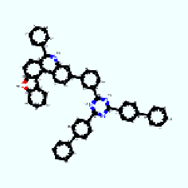 c1ccc(-c2ccc(-c3nc(-c4ccc(-c5ccccc5)cc4)nc(-c4cccc(-c5ccc6c(c5)nc(-c5ccccc5)c5ccc7oc8ccccc8c7c56)c4)n3)cc2)cc1